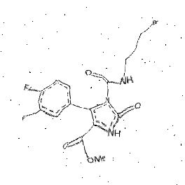 COC(=O)c1[nH]c(=O)n(C(=O)NCCCBr)c1-c1ccc(F)c(F)c1